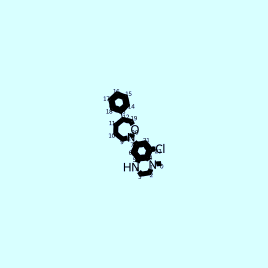 CN1CCNc2cc(N3CCC[C@H](c4ccccc4)CO3)cc(Cl)c21